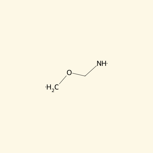 [CH2]OC[NH]